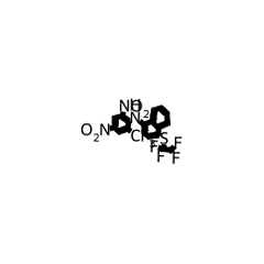 O=[N+]([O-])c1cc([N+](=O)[O-])c(Nc2ccc(SC(F)(F)C(F)F)c3ccccc23)c(C(F)(F)F)c1